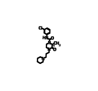 C[C@H]1C(=O)N(CCCN2CCCCC2)CCN1C(=O)Nc1cccc(Cl)c1